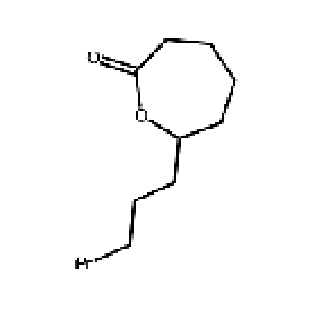 CC(C)CCCC1CCCCC(=O)O1